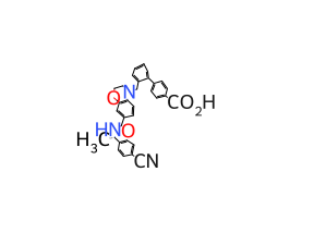 C[C@H](NC(=O)c1ccc2c(c1)OCCN2Cc1ccccc1-c1ccc(C(=O)O)cc1)c1ccc(C#N)cc1